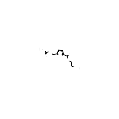 CCCOC(=O)c1ccc(COC(C)=O)o1